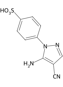 N#Cc1cnn(-c2ccc(S(=O)(=O)O)cc2)c1N